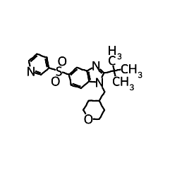 CC(C)(C)c1nc2cc(S(=O)(=O)c3cccnc3)ccc2n1CC1CCOCC1